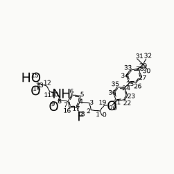 CC(CCc1ccc(C(=O)NCCC(=O)O)cc1F)COc1ccc(-c2ccc(C(C)(C)C)cc2)cc1